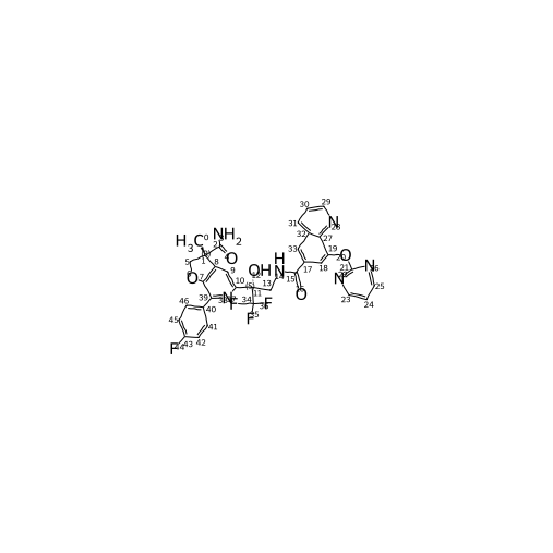 C[C@]1(C(N)=O)COc2c1cc([C@@](O)(CNC(=O)c1cc(Oc3ncccn3)c3ncccc3c1)C(F)(F)F)nc2-c1ccc(F)cc1